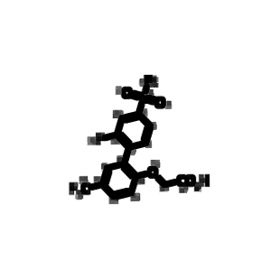 CCS(=O)(=O)c1ccc(-c2cc(C(F)(F)F)ccc2OCC(=O)O)c(F)c1